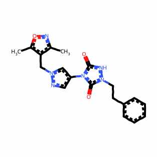 Cc1noc(C)c1Cn1cc(-n2c(=O)[nH]n(CCc3ccccc3)c2=O)cn1